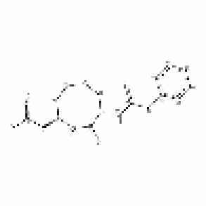 CB1O[C@@H](CC(C)=O)CCCC[C@@H]1NC(=O)Cc1ccccc1